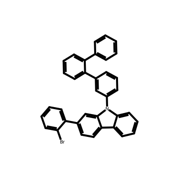 Brc1ccccc1-c1ccc2c3ccccc3n(-c3cccc(-c4ccccc4-c4ccccc4)c3)c2c1